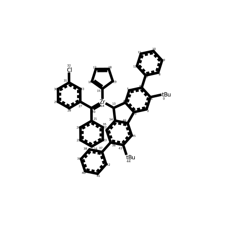 CC(C)(C)c1cc2c(cc1-c1ccccc1)[CH]([Zr]([C]1=CC=CC1)=[C](c1ccccc1)c1cccc(Cl)c1)c1cc(-c3ccccc3)c(C(C)(C)C)cc1-2